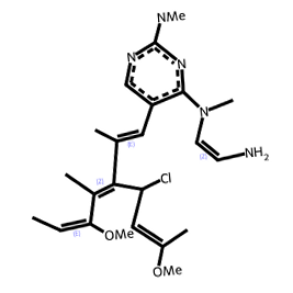 C\C=C(OC)/C(C)=C(/C(C)=C/c1cnc(NC)nc1N(C)/C=C\N)C(Cl)C=C(C)OC